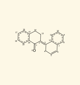 O=C1C(=C2CC=Cc3ccccc32)CCc2ccccc21